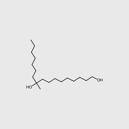 CCCCCCCC(C)(O)CCCCCCCCCO